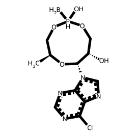 B[PH]1(O)OC[C@H](C)O[C@@H](n2cnc3c(Cl)ncnc32)[C@@H](O)CO1